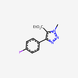 CCOC(=O)c1c(-c2ccc(I)cc2)nnn1C